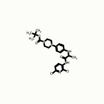 CC(Nc1ccc(N2CCN(C(=O)OC(C)(C)C)CC2)cc1)C(=O)Nc1ccc(Cl)nc1Cl